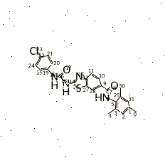 Cc1cc(C)c(NC(=O)c2ccc3nc(NC(=O)Nc4ccc(Cl)cc4)sc3c2)c(C)c1